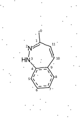 CC1=NNc2ccccc2C=C1